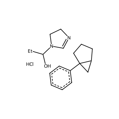 CCC(O)N1C=NCC1.Cl.c1ccc(C23CCCC2C3)cc1